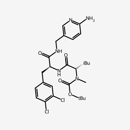 CC[C@@H](C)C(C(=O)N[C@@H](Cc1ccc(Cl)c(Cl)c1)C(=O)NCc1ccc(N)nc1)N(C)C(=O)OC(C)(C)C